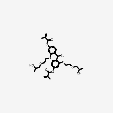 C=C(C)C(=O)Oc1ccc(C(CC)c2ccc(OC(=O)C(=C)C)cc2OCCOCC(C)O)c(OCCOCC(C)O)c1